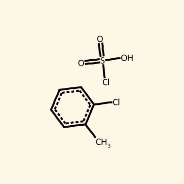 Cc1ccccc1Cl.O=S(=O)(O)Cl